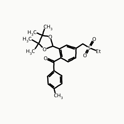 CCS(=O)(=O)Cc1ccc(C(=O)c2ccc(C)cc2)c(C2OC(C)(C)C(C)(C)O2)c1